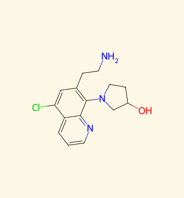 NCCc1cc(Cl)c2cccnc2c1N1CCC(O)C1